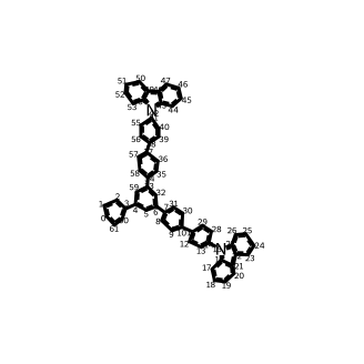 c1ccc(-c2cc(-c3ccc(-c4ccc(-n5c6ccccc6c6ccccc65)cc4)cc3)cc(-c3ccc(-c4ccc(-n5c6ccccc6c6ccccc65)cc4)cc3)c2)cc1